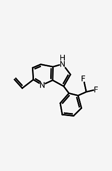 C=Cc1ccc2[nH]cc(-c3ccccc3C(F)F)c2n1